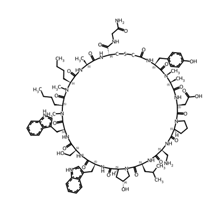 CCCC[C@H]1C(=O)N(C)[C@@H](CCCC)C(=O)N[C@@H](C)C(=O)N[C@H](C(=O)NCC(N)=O)CSCC(=O)N[C@@H](Cc2ccc(O)cc2)C(=O)N(C)[C@@H](C)C(=O)N[C@@H](CC(=O)O)C(=O)N2CCC[C@H]2C(=O)N[C@@H](CN)C(=O)N[C@@H](CC(C)C)C(=O)N2C[C@H](O)C[C@H]2C(=O)N[C@@H](Cc2c[nH]c3ccccc23)C(=O)N[C@@H](CO)C(=O)N[C@@H](Cc2c[nH]c3ccccc23)C(=O)N1C